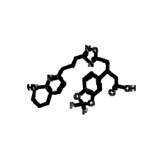 O=C(O)CC(Cc1nc(CCCc2ccc3c(n2)NCCC3)no1)c1ccc2c(c1)OC(F)(F)O2